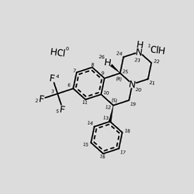 Cl.Cl.FC(F)(F)c1ccc2c(c1)[C@H](c1ccccc1)CN1CCNC[C@@H]21